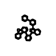 c1cc2oc3ccccc3c2c(-c2ccccc2-c2sc(-c3cccc(-c4ccccc4)c3)c3c2CCC=C3)c#1